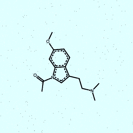 COc1ccc2c(CCN(C)C)cn(C(C)=O)c2c1